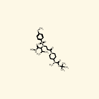 COc1ccc(S(=O)(=O)N(CCC(=O)N2CCC(N(C)C(=O)OC(C)(C)C)CC2)C(C(=O)NO)C(C)C)cc1